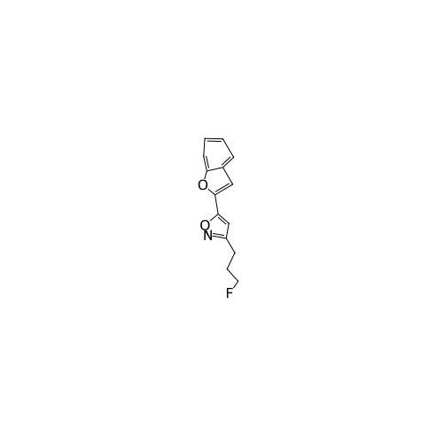 FCCCc1cc(-c2cc3ccccc3o2)on1